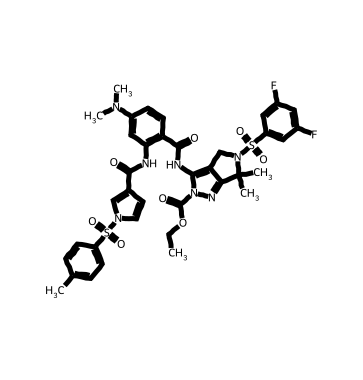 CCOC(=O)n1nc2c(c1NC(=O)c1ccc(N(C)C)cc1NC(=O)c1ccn(S(=O)(=O)c3ccc(C)cc3)c1)CN(S(=O)(=O)c1cc(F)cc(F)c1)C2(C)C